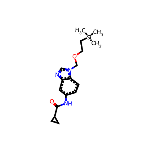 C[Si](C)(C)CCOCn1cnc2cc(NC(=O)C3CC3)ccc21